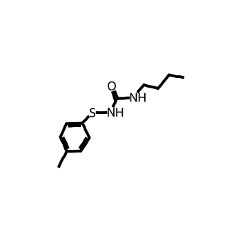 CCCCNC(=O)NSc1ccc(C)cc1